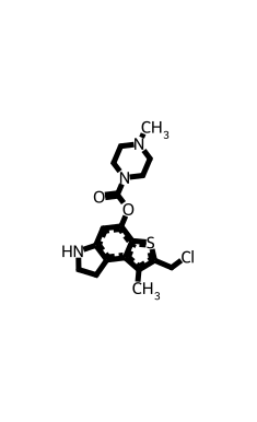 Cc1c(CCl)sc2c(OC(=O)N3CCN(C)CC3)cc3c(c12)CCN3